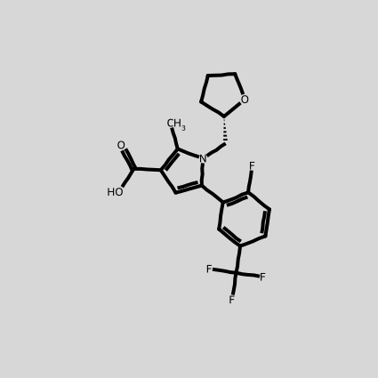 Cc1c(C(=O)O)cc(-c2cc(C(F)(F)F)ccc2F)n1C[C@@H]1CCCO1